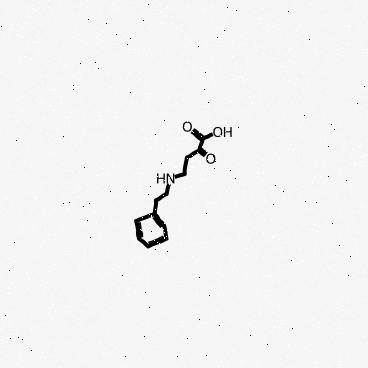 O=C(O)C(=O)CCNCCc1ccccc1